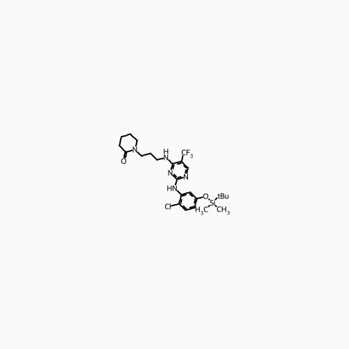 CC(C)(C)[Si](C)(C)Oc1ccc(Cl)c(Nc2ncc(C(F)(F)F)c(NCCCN3CCCCC3=O)n2)c1